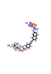 CC(C)(C)OC(=O)N1CCC(Oc2ccc([N+]#Cc3ccc4ccc(CNC(=O)OS(N)(=O)=O)cc4c3)cc2)CC1